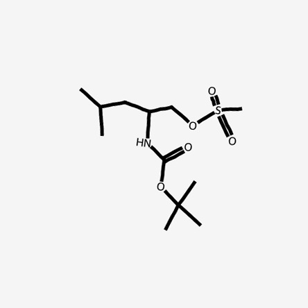 CC(C)CC(COS(C)(=O)=O)NC(=O)OC(C)(C)C